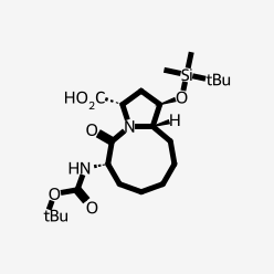 CC(C)(C)OC(=O)N[C@H]1CCCCC[C@H]2[C@H](O[Si](C)(C)C(C)(C)C)C[C@@H](C(=O)O)N2C1=O